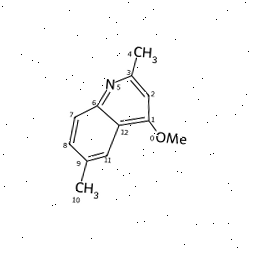 [CH2]Oc1cc(C)nc2ccc(C)cc12